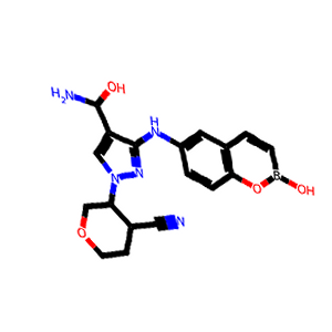 N#CC1CCOCC1n1cc(C(N)O)c(Nc2ccc3c(c2)C=CB(O)O3)n1